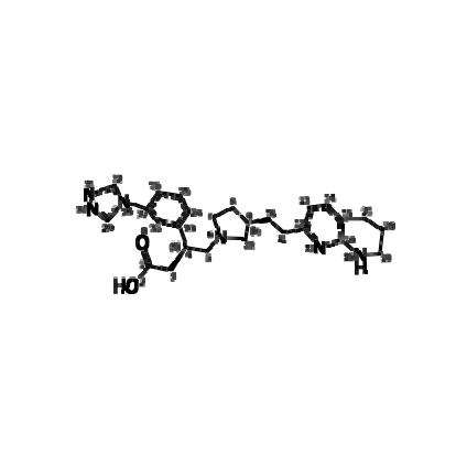 O=C(O)C[C@H](CN1CC[C@@H](CCc2ccc3c(n2)NCCC3)C1)c1cccc(-n2cnnc2)c1